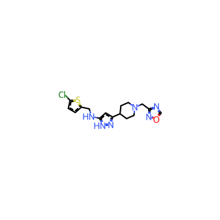 Clc1ccc(CNc2cc(C3CCN(Cc4ncon4)CC3)n[nH]2)s1